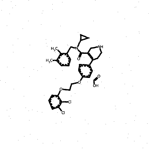 Cc1cccc(CN(C(=O)C2=C(c3ccc(OCCOc4cccc(Cl)c4Cl)cc3)CCNC2)C2CC2)c1C.O=CO